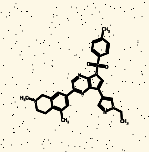 CCn1cc(-c2cn(S(=O)(=O)c3ccc(C)cc3)c3ncc(-c4cc(C)c5c(c4)CN(C)CC5)nc23)cn1